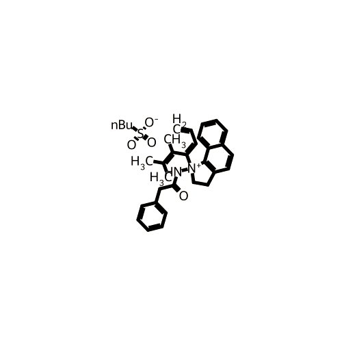 C=CC=C(C(C)=C(C)C)[N+]1(NC(=O)Cc2ccccc2)CCc2ccc3ccccc3c21.CCCCS(=O)(=O)[O-]